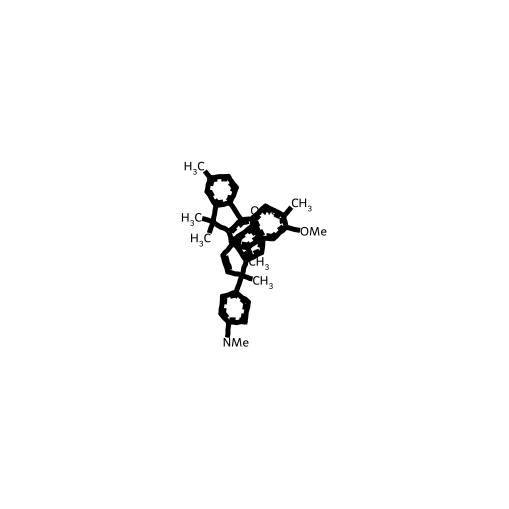 CNc1ccc(C(C)(/C=C\c2c3c(c4cc(C)c(OC)cc4c2C)-c2ccc(C)cc2C3(C)C)c2ccc(OC)cc2)cc1